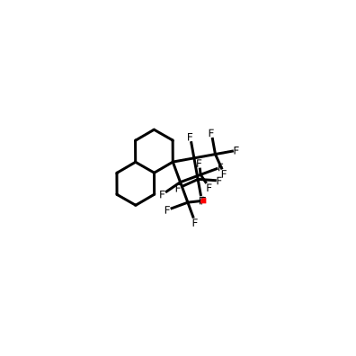 FC(F)(F)C(F)(C(F)(F)F)C1(C(F)(C(F)(F)F)C(F)(F)F)CCCC2CCCCC21